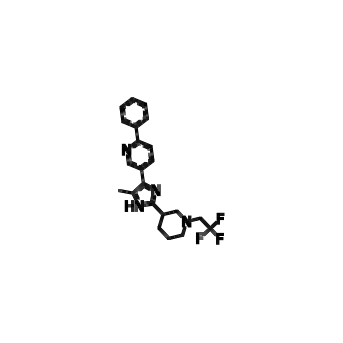 Cc1[nH]c(C2CCCN(CC(F)(F)F)C2)nc1-c1ccc(-c2ccccc2)nc1